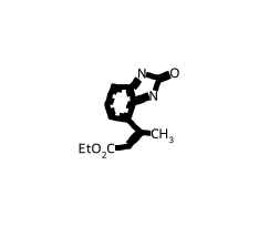 CCOC(=O)/C=C(/C)c1cccc2c1=NC(=O)N=2